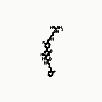 Cc1ccccc1CCCNC(=O)Nc1nc(=O)c(-c2ccc(CNCCCNC(=N)N)c(F)c2)c[nH]1